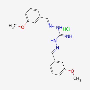 COc1cccc(C=NNC(=N)NN=Cc2cccc(OC)c2)c1.Cl